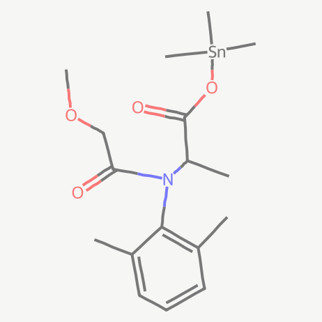 COCC(=O)N(c1c(C)cccc1C)C(C)C(=O)[O][Sn]([CH3])([CH3])[CH3]